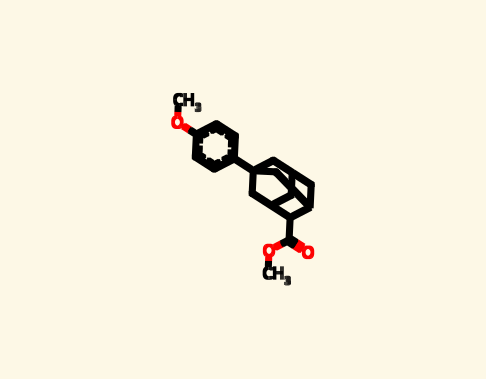 COC(=O)C1C2CC3CC1CC(c1ccc(OC)cc1)(C3)C2